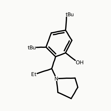 CCC(c1c(O)cc(C(C)(C)C)cc1C(C)(C)C)N1CCCC1